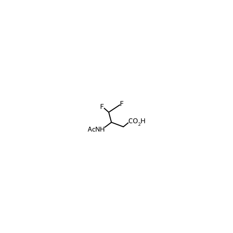 CC(=O)NC(CC(=O)O)C(F)F